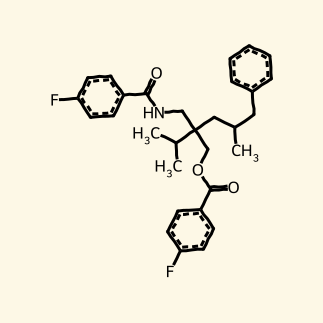 CC(Cc1ccccc1)CC(CNC(=O)c1ccc(F)cc1)(COC(=O)c1ccc(F)cc1)C(C)C